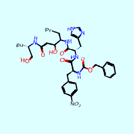 CCC(C)[C@@H](CO)NC(=O)CC(O)C(CC(C)C)NC(=O)[C@H](Cc1c[nH]cn1)NC(=O)[C@H](Cc1ccc([N+](=O)[O-])cc1)NC(=O)OCc1ccccc1